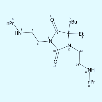 CCCCC1(CC)C(=O)N(CCNCCC)C(=O)N1CCNCCC